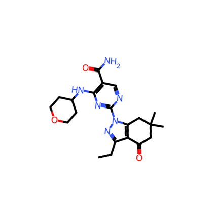 CCc1nn(-c2ncc(C(N)=O)c(NC3CCOCC3)n2)c2c1C(=O)CC(C)(C)C2